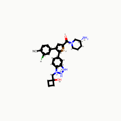 N#Cc1ccc(-c2cc(C(=O)N3CCC[C@@H](N)C3)sc2-c2ccc3c(c2)NNN3CC2(O)CCC2)cc1F